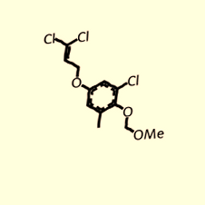 COCOc1c(C)cc(OCC=C(Cl)Cl)cc1Cl